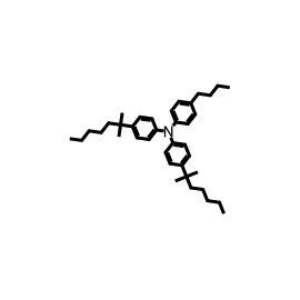 CCCCCC(C)(C)c1ccc(N(c2ccc(CCCC)cc2)c2ccc(C(C)(C)CCCCC)cc2)cc1